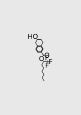 CCCCCCC(OC(=O)c1ccc2c(c1)CCC(O)C2)C(F)(F)F